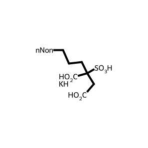 CCCCCCCCCCCCC(CC(=O)O)(C(=O)O)S(=O)(=O)O.[KH]